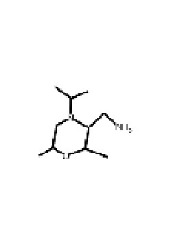 CC1CN(C(C)C)C(CN)C(C)O1